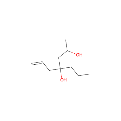 C=CCC(O)(CCC)CC(C)O